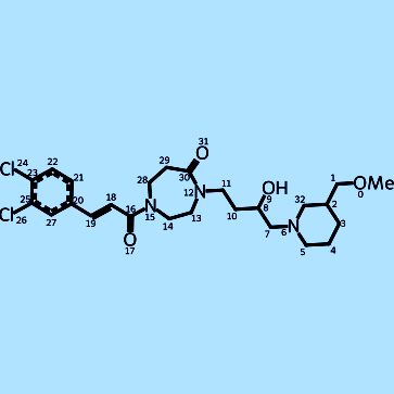 COCC1CCCN(CC(O)CCN2CCN(C(=O)/C=C/c3ccc(Cl)c(Cl)c3)CCC2=O)C1